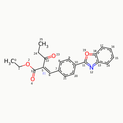 CCOC(=O)/C(=C/c1ccc(-c2nc3ccccc3o2)cc1)C(=O)CC